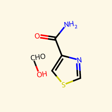 NC(=O)c1cscn1.O=CO